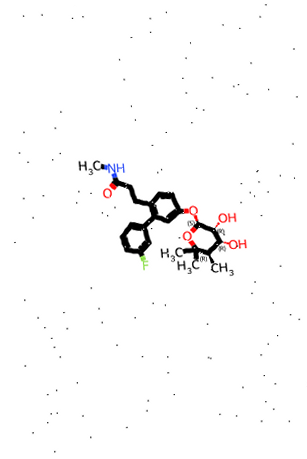 CNC(=O)CCc1ccc(O[C@@H]2OC(C)(C)[C@H](C)[C@@H](O)[C@H]2O)cc1-c1cccc(F)c1